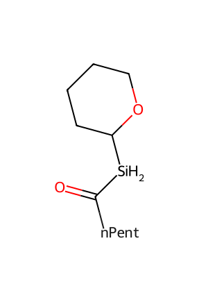 CCCCCC(=O)[SiH2]C1CCCCO1